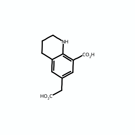 O=C(O)Cc1cc2c(c(C(=O)O)c1)NCCC2